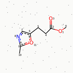 COC(=O)CCc1cnc(C)o1